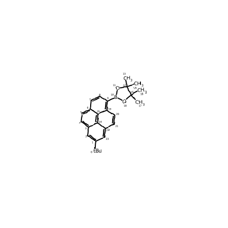 CC(C)(C)c1cc2ccc3ccc(B4OC(C)(C)C(C)(C)O4)c4ccc(c1)c2c34